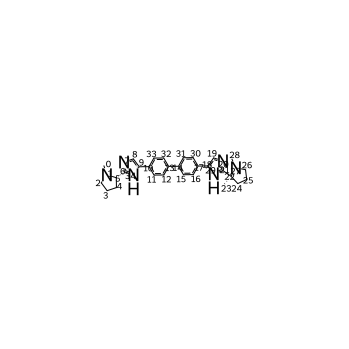 CN1CCC[C@H]1c1ncc(-c2ccc(-c3ccc(-c4cnc([C@]5(C)CCCN5C)[nH]4)cc3)cc2)[nH]1